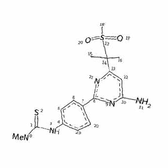 CNC(=S)Nc1ccc(-c2nc(N)cc(C(C)(C)S(C)(=O)=O)n2)cc1